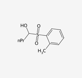 CCCC(O)S(=O)(=O)c1ccccc1C